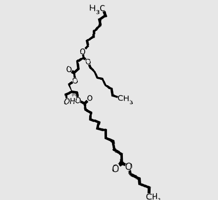 CCCCCCCCOC(CCC(=O)OC[C@H](CO)COC(=O)CCCCCCCCCCC(=O)OCCCCC)OCCCCCCCC